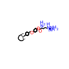 N=C(N)NCCCC(N)C(=O)Oc1ccc(OCc2ccc(C3CCCCCCCCC3)cc2)cc1